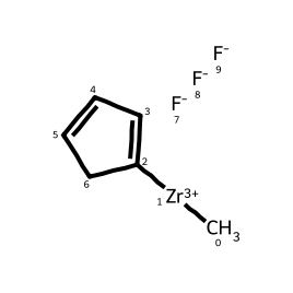 [CH3][Zr+3][C]1=CC=CC1.[F-].[F-].[F-]